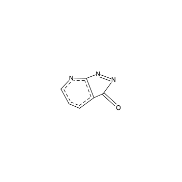 O=C1N=Nc2ncccc21